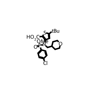 COP(=O)(c1ccc(Cl)cc1)N(CC1CCOCC1)c1cc(C(C)(C)C)sc1C(=O)O